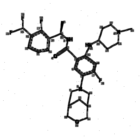 C[C@@H](NC(=O)c1cc(N2CC3COCC(C3)C2)c(F)cc1NC1CCN(C)CC1)c1cccc(C(F)F)c1F